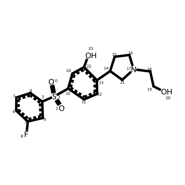 O=S(=O)(c1cccc(F)c1)c1ccc(C2CCN(CCO)C2)c(O)c1